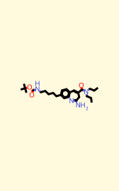 CCCN(CCC)C(=O)C1=Cc2ccc(CCCCCNC(=O)OC(C)(C)C)cc2N=C(N)C1